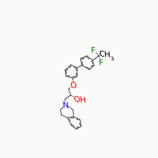 CC(F)(F)c1ccc(-c2cccc(OCC(O)CN3CCc4ccccc4C3)c2)cc1